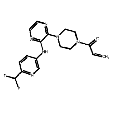 C=CC(=O)N1CCN(c2nccnc2Nc2ccc(C(F)F)nc2)CC1